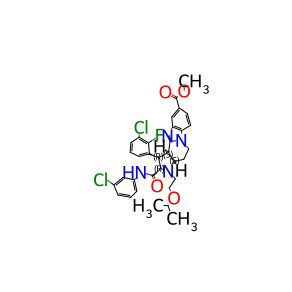 COC(=O)c1ccc2c(c1)nc1n2CC[C@H]2[C@@H]1[C@H](c1cccc(Cl)c1F)[C@H](C(=O)Nc1cccc(Cl)c1)N2CCOC(C)C